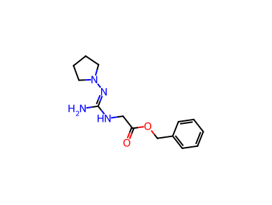 NC(=NN1CCCC1)NCC(=O)OCc1ccccc1